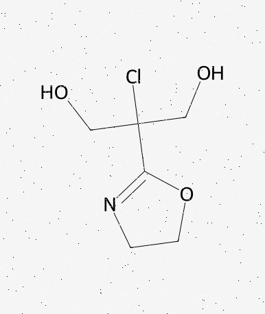 OCC(Cl)(CO)C1=NCCO1